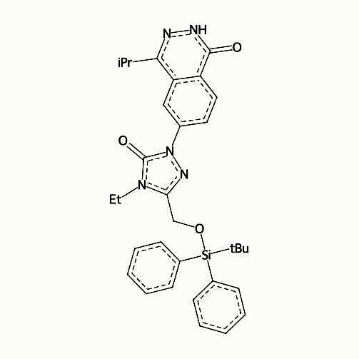 CCn1c(CO[Si](c2ccccc2)(c2ccccc2)C(C)(C)C)nn(-c2ccc3c(=O)[nH]nc(C(C)C)c3c2)c1=O